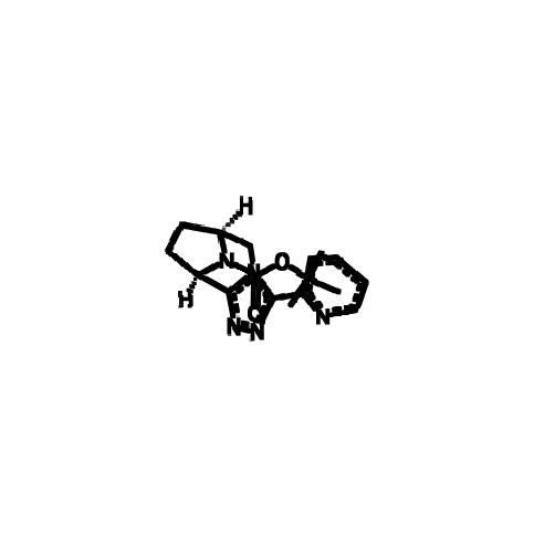 CC(C)(C)OC(=O)N1[C@H]2CC[C@@H]1c1nnc(-c3ccccn3)n1C2